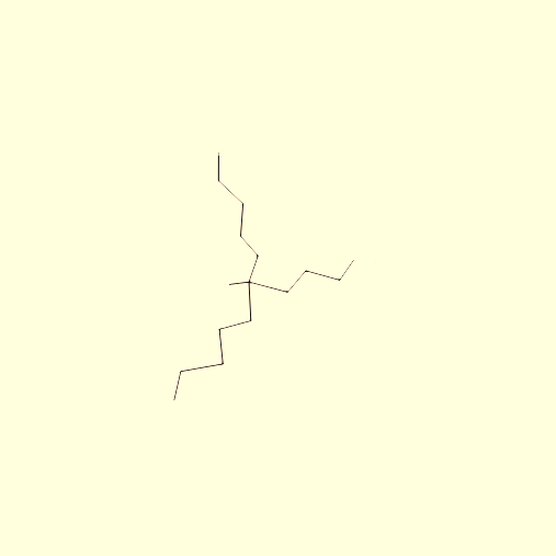 O=C(O)CCCC(CCCCBr)(CCCCBr)C(=O)O